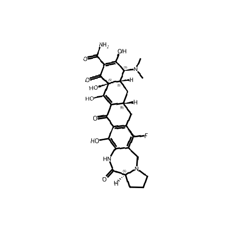 CN(C)[C@@H]1C(O)=C(C(N)=O)C(=O)[C@@]2(O)C(O)=C3C(=O)c4c(O)c5c(c(F)c4C[C@H]3C[C@@H]12)CN1CCC[C@H]1C(=O)N5